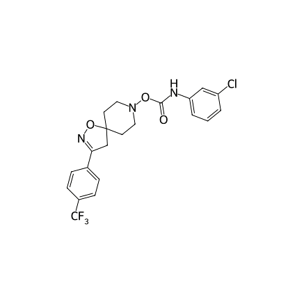 O=C(Nc1cccc(Cl)c1)ON1CCC2(CC1)CC(c1ccc(C(F)(F)F)cc1)=NO2